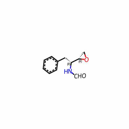 O=CN[C@H](Cc1ccccc1)[C@@H]1CO1